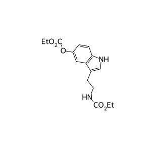 CCOC(=O)NCCc1c[nH]c2ccc(OC(=O)OCC)cc12